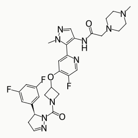 CN1CCN(CC(=O)Nc2cnn(C)c2-c2cc(OC3CN(C(=O)N4N=CC[C@H]4c4cc(F)cc(F)c4)C3)c(F)cn2)CC1